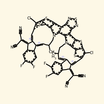 CC1/C=C2/C(=C\c3sc4c(sc5c6c7nsnc7c7c8sc9c(Cl)c%10sc9c8n(c7c6n(c45)C1)CC(C)/C=C1/C(=C\%10)C(=C(C#N)C#N)c4cc(F)c(F)cc41)c3Cl)C(=C(C#N)C#N)c1cc(F)c(F)cc12